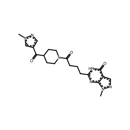 Cn1cc(C(=O)C2CCN(C(=O)CCCc3nc4c(cnn4C)c(=O)[nH]3)CC2)cn1